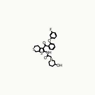 O=C(CN1CCCC(O)C1)Nc1sc2c(c1C(=O)c1ccccc1Oc1cccc(F)c1)CCSC2